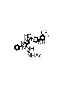 CC(=O)NCCNc1nc(-c2ccccc2)nc2[nH]c(C(=O)N3CCC(O)(c4cccc(C(F)(F)F)c4)CC3)cc12